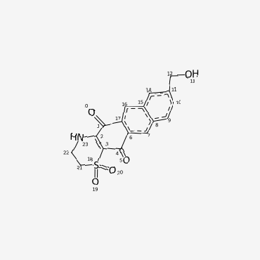 O=C1C2=C(C(=O)c3cc4ccc(CO)cc4cc31)S(=O)(=O)CCN2